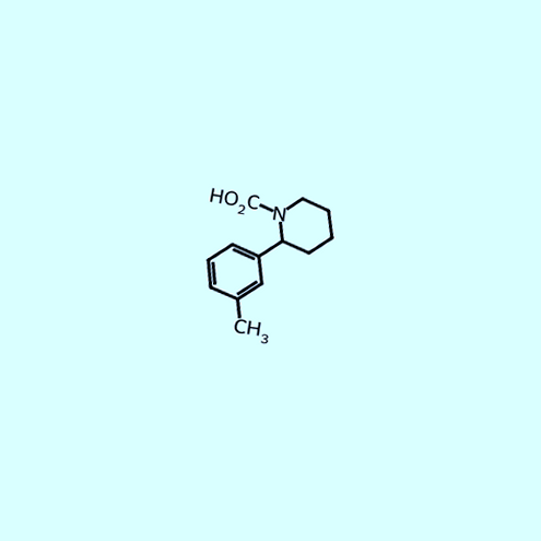 Cc1cccc(C2CCCCN2C(=O)O)c1